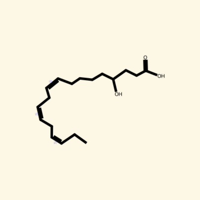 CC/C=C\C/C=C\C/C=C\CCCCC(O)CCC(=O)O